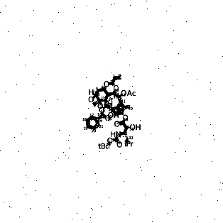 C=CC1OC2C[C@H]3OC[C@@]3(OC(C)=O)[C@H]3[C@H](OC(=O)c4ccccc4)[C@]4(O)C[C@H](OC(=O)[C@H](O)[C@H](CC(C)C)NC(=O)OC(C)(C)C)C(C)=C([C@H](OC(C)=O)[C@H](O1)[C@]23C)C4(C)C